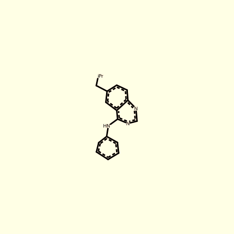 CC(C)Cc1ccc2ncnc(Nc3ccccc3)c2c1